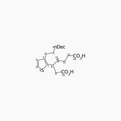 CCCCCCCCCCCCc1ccsc1C(CC(=O)O)SCCC(=O)O